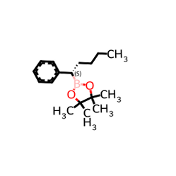 CCCC[C@H](B1OC(C)(C)C(C)(C)O1)c1ccccc1